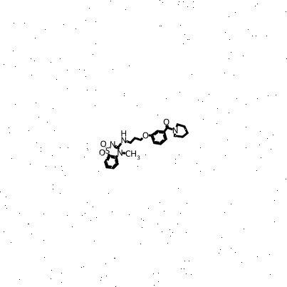 CN1C(NCCCOc2cccc(C(=O)N3CCCCC3)c2)=NS(=O)(=O)c2ccccc21